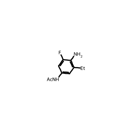 CCc1cc(NC(C)=O)cc(F)c1N